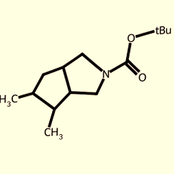 CC1CC2CN(C(=O)OC(C)(C)C)CC2C1C